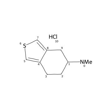 CNC1CCc2cscc2C1.Cl